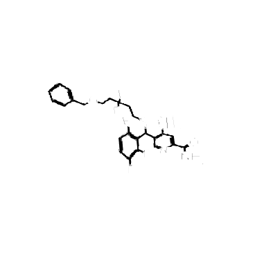 Cc1cc(C(N)=O)ncc1C(SCCC(F)(F)CCOCc1ccccc1)c1c(F)ccc(F)c1F